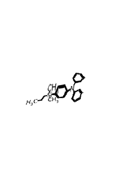 CCC[Si](C)(C)c1ccc(N(c2ccccc2)c2ccccc2)cc1